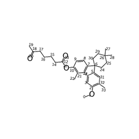 COc1ccc(C2(c3ccc(OC(=O)CCCCC(C)=O)c(C)c3)CCC(C)(C)CC2)cc1C